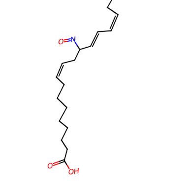 CC/C=C\C=C\C(C/C=C\CCCCCCCC(=O)O)N=O